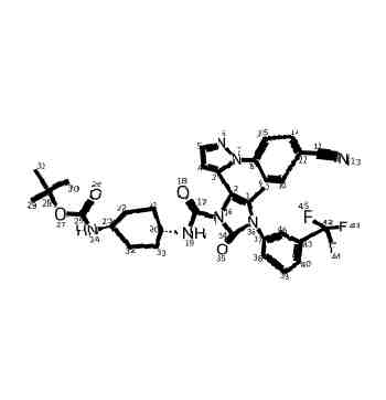 Cc1c(-c2ccnn2-c2ccc(C#N)cc2)n(C(=O)N[C@H]2CC[C@H](NC(=O)OC(C)(C)C)CC2)c(=O)n1-c1cccc(C(F)(F)F)c1